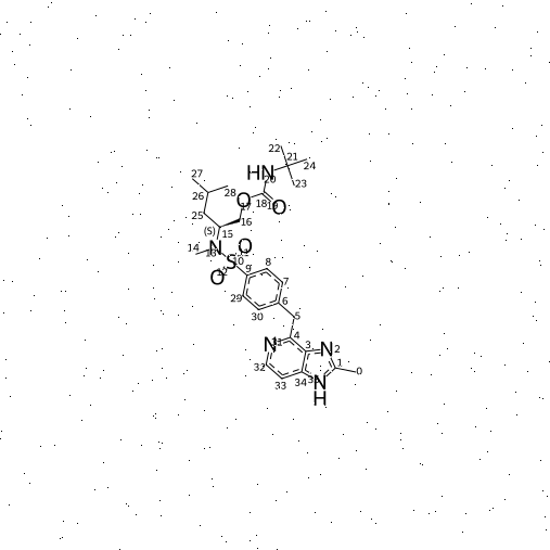 Cc1nc2c(Cc3ccc(S(=O)(=O)N(C)[C@H](COC(=O)NC(C)(C)C)CC(C)C)cc3)nccc2[nH]1